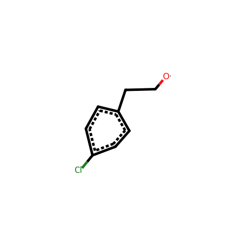 [O]CCc1ccc(Cl)cc1